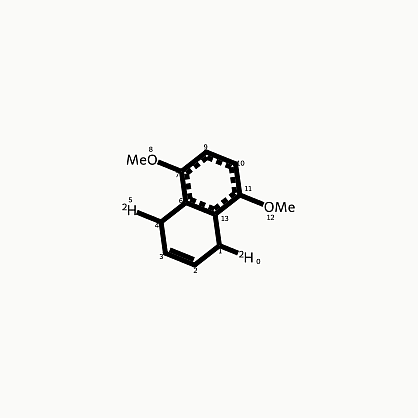 [2H]C1C=CC([2H])c2c(OC)ccc(OC)c21